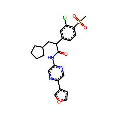 CS(=O)(=O)c1ccc(C(CC2CCCC2)C(=O)Nc2cnc(-c3ccoc3)cn2)cc1Cl